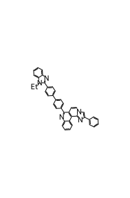 CCn1c(-c2ccc(-c3ccc(-c4nc5ccccc5c5c4ccn4cc(-c6ccccc6)nc54)cc3)cc2)nc2ccccc21